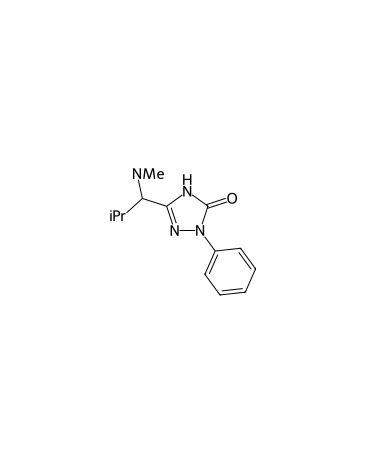 CNC(c1nn(-c2ccccc2)c(=O)[nH]1)C(C)C